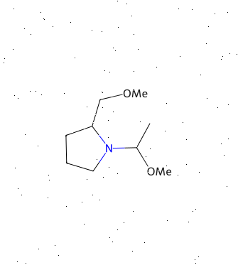 COCC1CCCN1C(C)OC